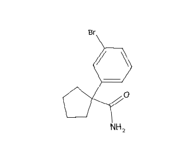 NC(=O)C1(c2cccc(Br)c2)CCCC1